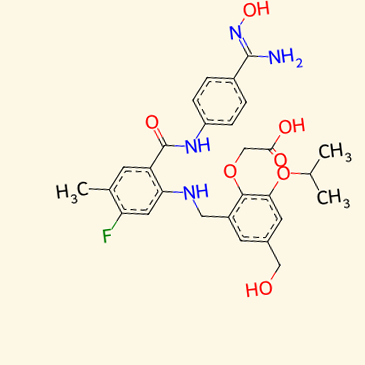 Cc1cc(C(=O)Nc2ccc(/C(N)=N/O)cc2)c(NCc2cc(CO)cc(OC(C)C)c2OCC(=O)O)cc1F